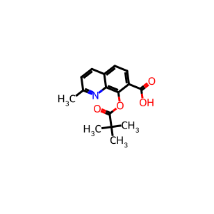 Cc1ccc2ccc(C(=O)O)c(OC(=O)C(C)(C)C)c2n1